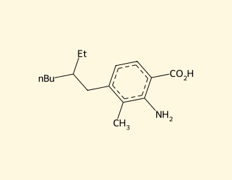 CCCCC(CC)Cc1ccc(C(=O)O)c(N)c1C